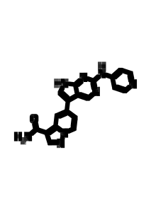 NC(=O)c1cnn2ccc(-c3c[nH]c4nc(Nc5ccncc5)ncc34)cc12